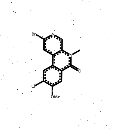 COc1cc2c(=O)n(C)c3cnc(Br)cc3c2cc1Cl